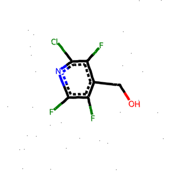 OCc1c(F)c(F)nc(Cl)c1F